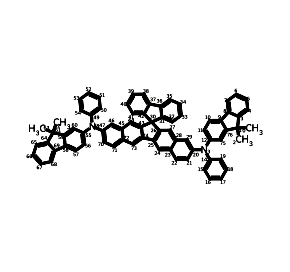 CC1(C)c2ccccc2-c2ccc(N(c3ccccc3)c3ccc4cc5c(cc4c3)C3(c4ccccc4-c4ccccc43)c3cc4cc(N(c6ccccc6)c6ccc7c(c6)C(C)(C)c6ccccc6-7)ccc4cc3-5)cc21